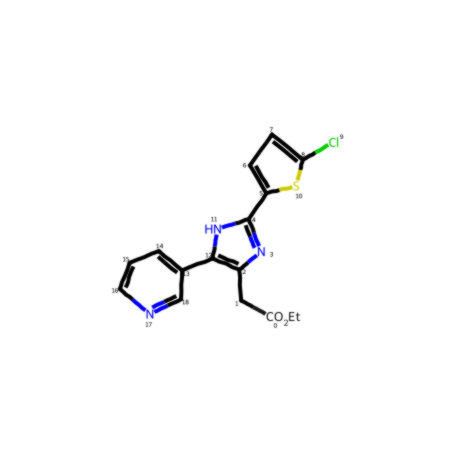 CCOC(=O)Cc1nc(-c2ccc(Cl)s2)[nH]c1-c1cccnc1